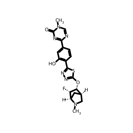 CN1C[C@H]2C[C@@H]1[C@H](F)[C@@H]2Oc1nnc(-c2ccc(-c3ncn(C)c(=O)n3)cc2O)s1